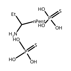 CCCCCC(N)CC.OP(O)(O)=S.OP(O)(O)=S